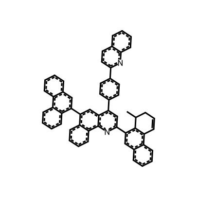 CC1CC=Cc2c1c(-c1cc(-c3ccc(-c4ccc5ccccc5n4)cc3)c3cc(-c4cc5ccccc5c5ccccc45)c4ccccc4c3n1)cc1ccccc21